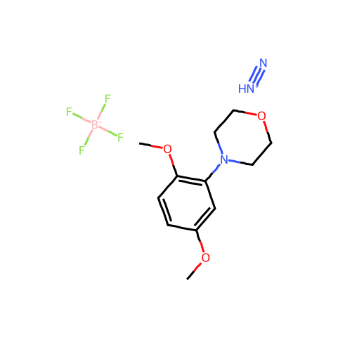 COc1ccc(OC)c(N2CCOCC2)c1.F[B-](F)(F)F.N#[NH+]